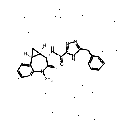 CN1C(=O)[C@@H](NC(=O)c2nnc(Cc3ccccc3)[nH]2)[C@@H]2C[C@@H]2c2ccccc21